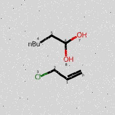 C=CCCl.CCCCCC(O)O